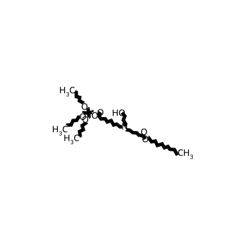 CCCCCCCCCCCOC(=O)CCCCCN(CCCO)CCCCCCCC(=O)OCC(COCCCCCC)(COCCCCCC)COCCCCCC